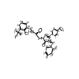 O=C(Cn1nc(-c2ccc(Cl)cc2)n(Cc2ccccc2F)c1=O)NCc1cccc(C(F)(F)F)c1Cl